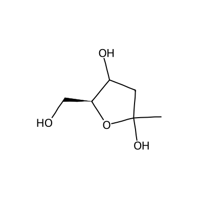 CC1(O)CC(O)[C@H](CO)O1